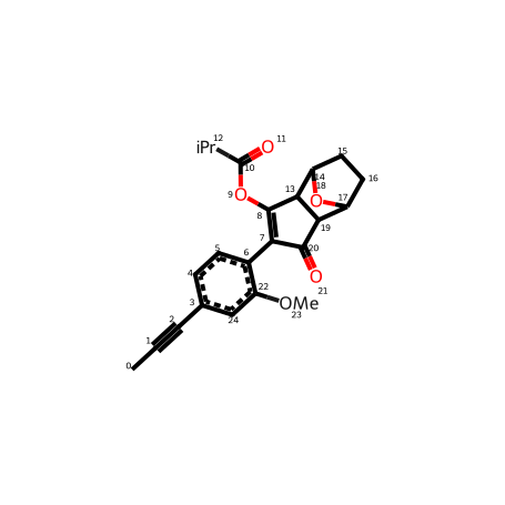 CC#Cc1ccc(C2=C(OC(=O)C(C)C)C3C4CCC(O4)C3C2=O)c(OC)c1